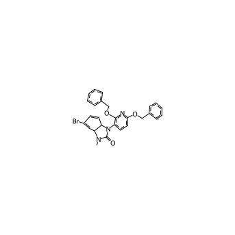 CN1C(=O)N(c2ccc(OCc3ccccc3)nc2OCc2ccccc2)C2C=CC(Br)=CC21